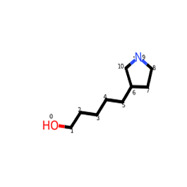 OCCCCCC1CC[N]C1